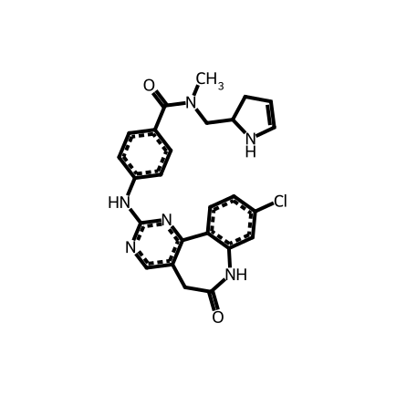 CN(CC1CC=CN1)C(=O)c1ccc(Nc2ncc3c(n2)-c2ccc(Cl)cc2NC(=O)C3)cc1